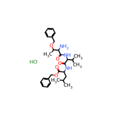 CC(C)CC(NC(=O)C(NC(=O)C(N)C(C)OCc1ccccc1)C(C)C)C(=O)OCc1ccccc1.Cl